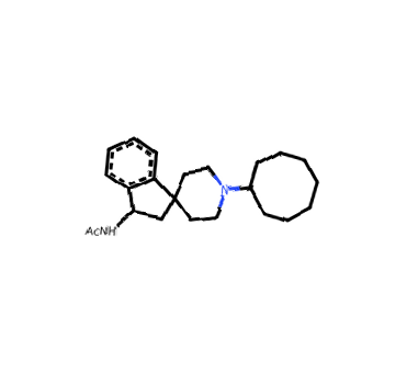 CC(=O)NC1CC2(CCN(C3CCCCCCC3)CC2)c2ccccc21